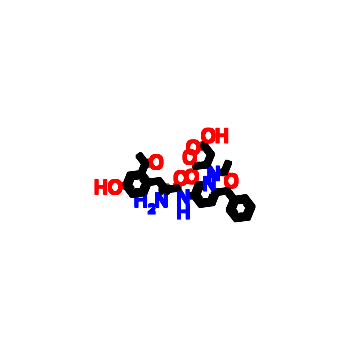 CC(=O)c1cc(O)ccc1C[C@H](N)C(=O)Nc1ccc(Cc2ccccc2)n(N(C(C)=O)C(C=O)CC(=O)O)c1=O